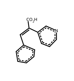 O=C(O)C(=Cc1ccccc1)c1cccnc1